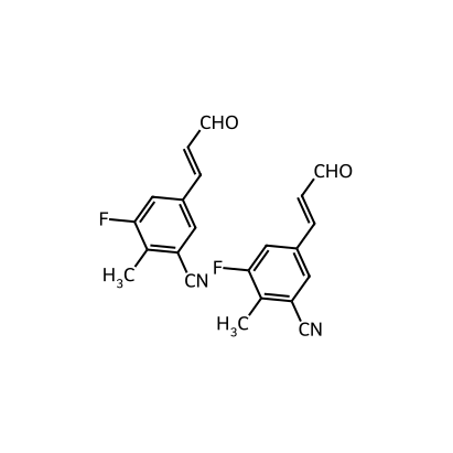 Cc1c(F)cc(/C=C/C=O)cc1C#N.Cc1c(F)cc(/C=C/C=O)cc1C#N